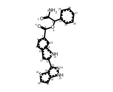 NC(=O)C(OC(=O)c1ccc2cc(-c3n[nH]c4ccsc34)[nH]c2c1)c1ccccc1